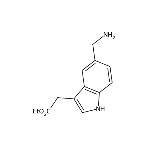 CCOC(=O)Cc1c[nH]c2ccc(CN)cc12